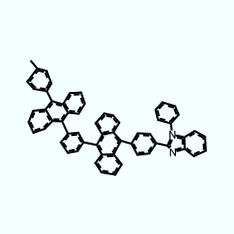 Cc1ccc(-c2c3ccccc3c(-c3cccc(-c4c5ccccc5c(-c5ccc(-c6nc7ccccc7n6-c6ccccc6)cc5)c5ccccc45)c3)c3ccccc23)cc1